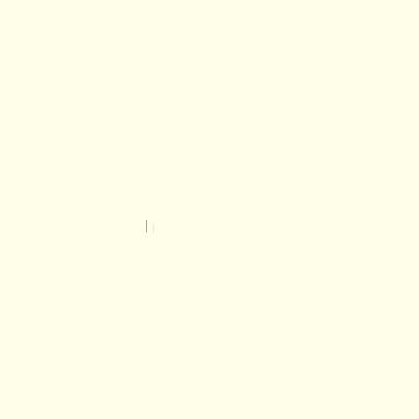 CC1=Cc2c(-c3cccc4ccccc34)cccc2[CH]1[Ti]1([CH]2C(C)=Cc3c(-c4cccc5ccccc45)cccc32)[CH2][CH2]1